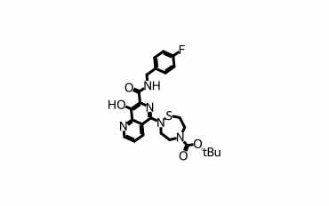 CC(C)(C)OC(=O)N1CCSN(c2nc(C(=O)NCc3ccc(F)cc3)c(O)c3ncccc23)CC1